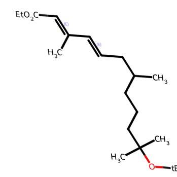 CCOC(=O)/C=C(C)/C=C/CC(C)CCCC(C)(C)OC(C)(C)C